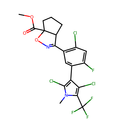 COC(=O)C12CCCC1C(c1cc(-c3c(Cl)c(C(F)(F)F)n(C)c3Cl)c(F)cc1Cl)=NO2